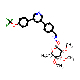 CO[C@@H]1[C@@H](OC)[C@H](C)O[C@@H](O/N=C/c2ccc(-c3cncc(-c4ccc(OC(F)(F)F)cc4)c3)cc2)[C@@H]1OC